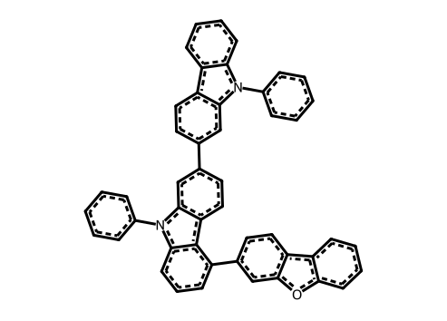 c1ccc(-n2c3ccccc3c3ccc(-c4ccc5c6c(-c7ccc8c(c7)oc7ccccc78)cccc6n(-c6ccccc6)c5c4)cc32)cc1